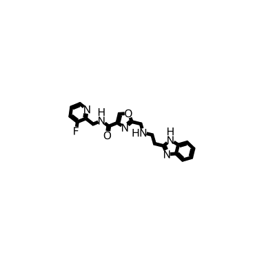 O=C(NCc1ncccc1F)c1coc(CNCCc2nc3ccccc3[nH]2)n1